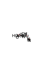 Cc1c(Oc2ccc(CCn3ccnn3)cc2F)ncnc1OC1CCN(C(=O)O)CC1